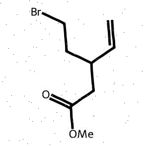 C=CC(CCBr)CC(=O)OC